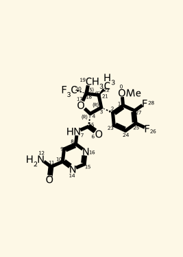 COc1c([C@@H]2[C@H](C(=O)Nc3cc(C(N)=O)ncn3)O[C@](C)(C(F)(F)F)[C@H]2C)ccc(F)c1F